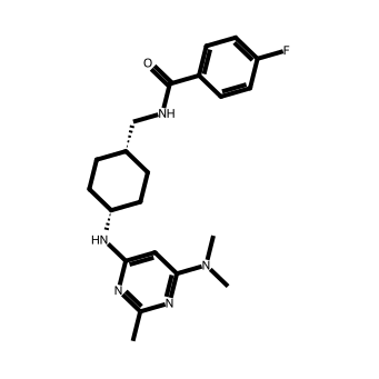 Cc1nc(N[C@H]2CC[C@@H](CNC(=O)c3ccc(F)cc3)CC2)cc(N(C)C)n1